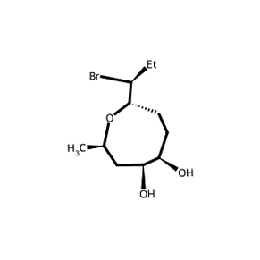 CC[C@H](Br)[C@@H]1CC[C@@H](O)[C@@H](O)C[C@@H](C)O1